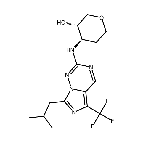 CC(C)Cc1nc(C(F)(F)F)c2cnc(N[C@@H]3CCOC[C@H]3O)nn12